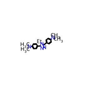 CCn1c(-c2ccc(N(C)C)cc2)nnc1-c1ccc(N(C)C)cc1